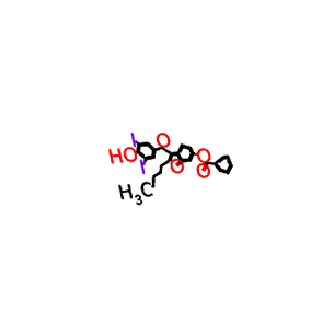 CCCCCc1oc2cc(OC(=O)c3ccccc3)ccc2c1C(=O)c1cc(I)c(O)c(I)c1